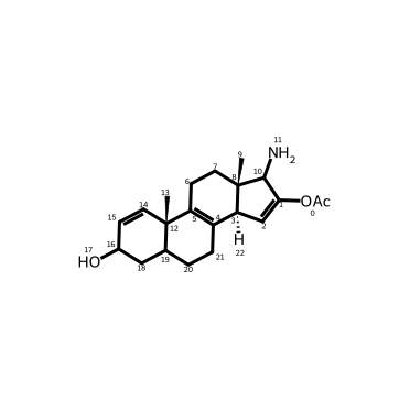 CC(=O)OC1=C[C@H]2C3=C(CC[C@]2(C)C1N)[C@@]1(C)C=CC(O)CC1CC3